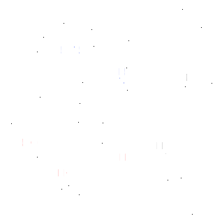 C=CCc1c(C(=O)OC)[nH]c(CCN)c1-c1ccc(CO)c(CO)c1CO